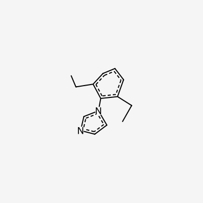 CCc1cccc(CC)c1-n1ccnc1